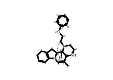 CC1=CN2C3=C(CCC=C3)C[C@H]2[C@H]2C1NCCN2CCOc1ccccc1